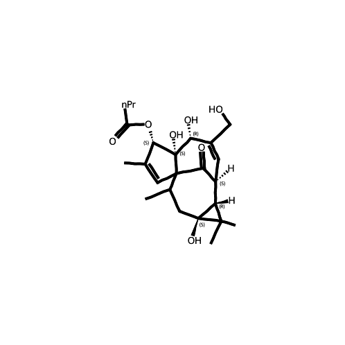 CCCC(=O)O[C@H]1C(C)=CC23C(=O)[C@@H](C=C(CO)[C@@H](O)[C@]12O)[C@@H]1C(C)(C)[C@]1(O)CC3C